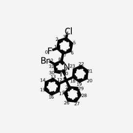 Fc1cc(Cl)ccc1-c1nn(C(c2ccccc2)(c2ccccc2)c2ccccc2)cc1Br